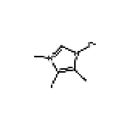 CCn1c[n+](C)c(C)c1C